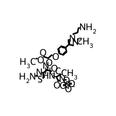 CCOC(=O)C(COc1ccc(-c2cn(CCCN)[n+](C)c2)cc1)O/N=C(\C(=O)N[C@@H]1C(=O)N(OS(=O)(=O)[O-])C1(C)C)c1csc(N)n1